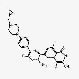 Cc1[nH]c(=O)c2c(F)cc(-c3nc(-c4ccc(N5CCN(CC6CC6)CC5)cc4)c(F)nc3N)cc2c1F